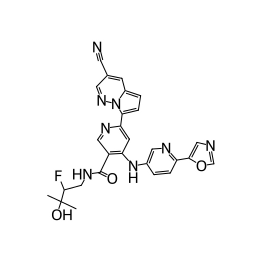 CC(C)(O)C(F)CNC(=O)c1cnc(-c2ccc3cc(C#N)cnn23)cc1Nc1ccc(-c2cnco2)nc1